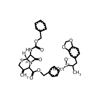 C=C1CS[C@@H]2C(NC(=O)OCc3ccccc3)C(=O)N2C1C(=O)OCc1ccccc1.CCCCCCCC[S+]([O-])C(C)Cc1ccc2c(c1)OCO2